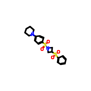 O=S(=O)(c1ccccc1)C1CN(S(=O)(=O)c2ccc(N3CCCCC3)cc2)C1